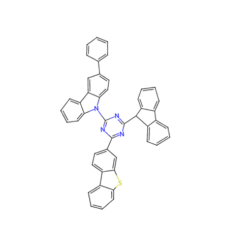 c1ccc(-c2ccc3c(c2)c2ccccc2n3-c2nc(-c3ccc4c(c3)sc3ccccc34)nc(C3c4ccccc4-c4ccccc43)n2)cc1